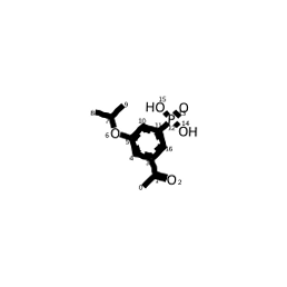 CC(=O)c1cc(OC(C)C)cc(P(=O)(O)O)c1